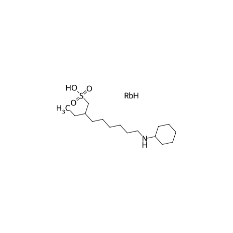 CCC(CCCCCCNC1CCCCC1)CS(=O)(=O)O.[RbH]